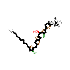 CCCCCCCCCCc1cc(Br)c(Cc2cc3sc(C(O)c4sc(-c5ccc([Si](C)(C)C(C)(C)C)s5)cc4Br)cc3s2)s1